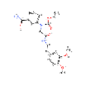 CCOC(=O)N(CC(=O)NCCc1ccc(OC)c(OC)c1)c1cccc(C(N)=O)c1